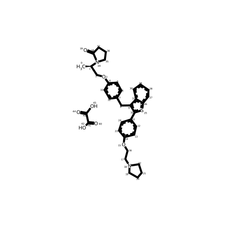 C[C@H](COc1ccc(Cc2c(-c3ccc(OCCN4CCCC4)cc3)sc3ccccc23)cc1)N1CCCC1=O.O=C(O)C(=O)O